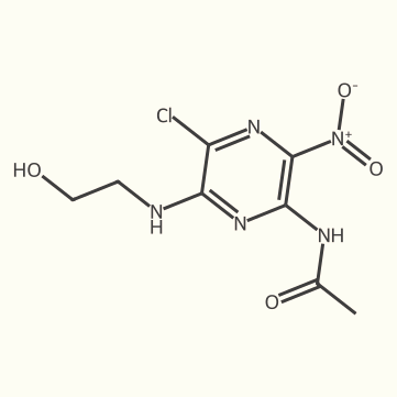 CC(=O)Nc1nc(NCCO)c(Cl)nc1[N+](=O)[O-]